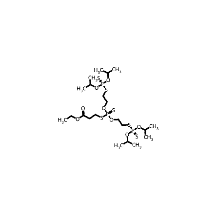 CCOC(=O)CCSP(=S)(OCCSP(=S)(OC(C)C)OC(C)C)OCCSP(=S)(OC(C)C)OC(C)C